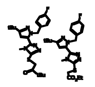 CCOC(=O)CSc1nnc(-c2cc(C(C)(C)C)nn2Cc2ccc(F)cc2)n1C.Cn1c(SCC(=O)C(C)(C)C)nnc1-c1cc(C(C)(C)C)nn1Cc1ccc(F)cc1